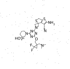 CN(C)CC1(COc2nc(N3CC4(C3)SCc3sc(N)c(C#N)c34)nc(N3CCC[C@@](C)(O)C3)n2)CC1(F)F